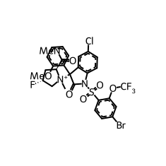 CNC(=O)[C@@H]1C[C@@H](F)C[N+]1(C)C1(c2ccccc2OC)C(=O)N(S(=O)(=O)c2ccc(Br)cc2OC(F)(F)F)c2ccc(Cl)cc21